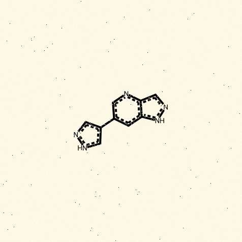 c1n[nH]cc1-c1cnc2cn[nH]c2c1